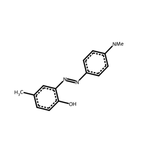 CNc1ccc(/N=N/c2cc(C)ccc2O)cc1